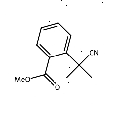 COC(=O)c1ccccc1C(C)(C)C#N